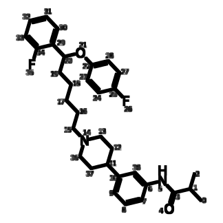 CC(C)C(=O)Nc1cccc(C2CCN(CCCCCC(Oc3ccc(F)cc3)c3ccccc3F)CC2)c1